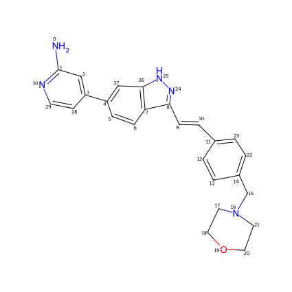 Nc1cc(-c2ccc3c(C=Cc4ccc(CN5CCOCC5)cc4)n[nH]c3c2)ccn1